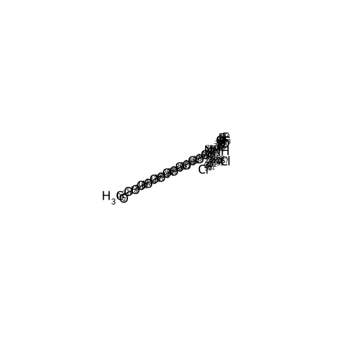 CC(=O)CCOCCOCCOCCOCCOCCOCCOCCOCCOCCOCCOCCOCCOc1cc(C(c2ccc(Cl)cc2)c2ccc(Cl)cc2)cc2c(NC3CCN(S(=O)(=O)C(F)(F)F)CC3)ccnc12